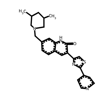 CC1CC(C)CN(Cc2ccc3cc(-c4csc(-c5ccncc5)n4)c(=O)[nH]c3c2)C1